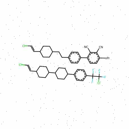 CCCc1ccc(-c2ccc(CCC3CCC(/C=C/Cl)CC3)cc2)c(C#N)c1C#N.FC(F)(Cl)C(F)(F)c1ccc(C2CCC(C3CCC(/C=C/Cl)CC3)CC2)cc1